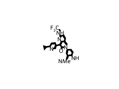 CN/C=C1/C=C(n2cc3ccc(NCC(F)(F)F)nc3c(-c3ccc(C4CC4)nc3)c2=O)C=CC1=N